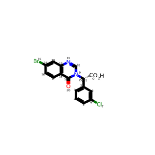 O=C(O)[C@H](c1cccc(Cl)c1)n1cnc2cc(Br)ccc2c1=O